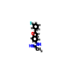 CC(=N)Nc1ccc2oc(-c3cccc(F)c3)cc2c1